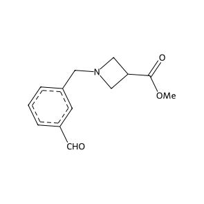 COC(=O)C1CN(Cc2cccc(C=O)c2)C1